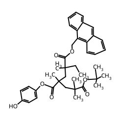 CCC(C)(CC(C)(CC(C)(C)C(=O)OC(C)(C)C)C(=O)Oc1ccc(O)cc1)C(=O)OCc1c2ccccc2cc2ccccc12